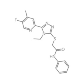 CCn1c(SCC(=O)Nc2ccccc2)nnc1-c1cc(C)c(F)cn1